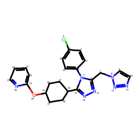 Clc1ccc(-n2c(Cn3ccnn3)nnc2C2CCC(Oc3ccccn3)CC2)cc1